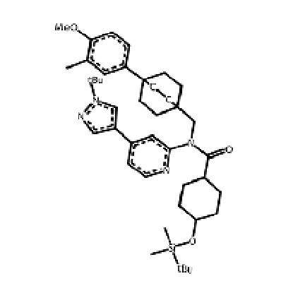 COc1ccc(C23CCC(CN(C(=O)C4CCC(O[Si](C)(C)C(C)(C)C)CC4)c4cc(-c5cnn(C(C)(C)C)c5)ccn4)(CC2)CC3)cc1C